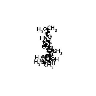 CC(C)/C=C/C(=O)Nc1ccn(C2CCC(OC3OC(C)C(N(C)C)C(O)C3O)C(C)O2)c(=O)n1